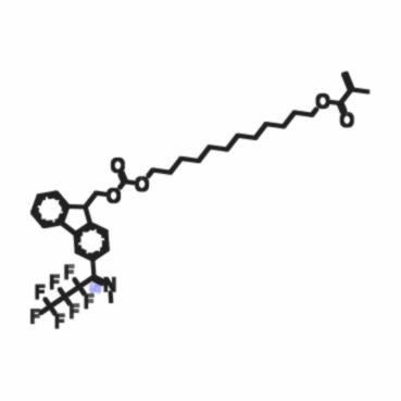 C=C(C)C(=O)OCCCCCCCCCCCCOC(=O)OCC1c2ccccc2-c2cc(/C(=N/C)C(F)(F)C(F)(F)C(F)(F)F)ccc21